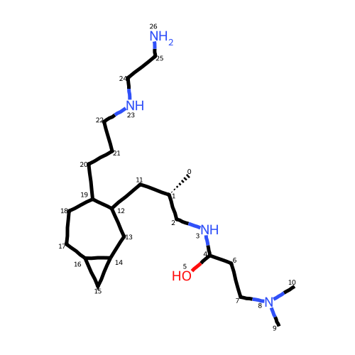 C[C@H](CNC(O)CCN(C)C)CC1CC2CC2CCC1CCCNCCN